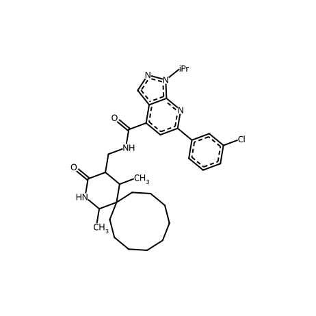 CC(C)n1ncc2c(C(=O)NCC3C(=O)NC(C)C4(CCCCCCCCC4)C3C)cc(-c3cccc(Cl)c3)nc21